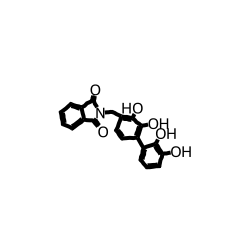 O=C1c2ccccc2C(=O)N1Cc1ccc(-c2cccc(O)c2O)c(O)c1O